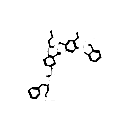 CCCCc1nc2ccc(NC(=O)OC(CCC)Cc3ccccc3)cc2c(=O)n1Cc1ccc(OCc2ccccc2C(=O)O)c(CCC)c1